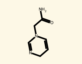 NC(=O)CN1C=CCN=C1